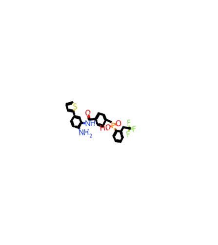 Nc1ccc(-c2cccs2)cc1NC(=O)c1ccc(CP(=O)(O)c2ccccc2CC(F)(F)F)cc1